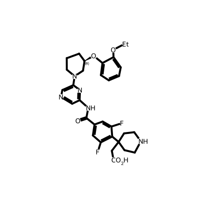 CCOc1ccccc1O[C@@H]1CCCN(c2cncc(NC(=O)c3cc(F)c(C4(CC(=O)O)CCNCC4)c(F)c3)n2)C1